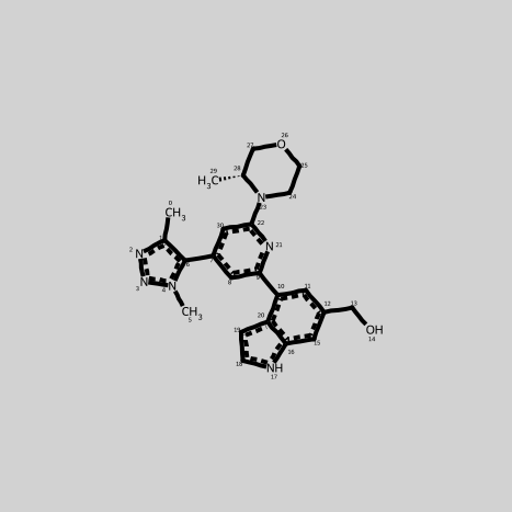 Cc1nnn(C)c1-c1cc(-c2cc(CO)cc3[nH]ccc23)nc(N2CCOC[C@H]2C)c1